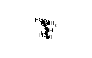 CC(C)COc1cc(-c2ccc(NCCNC[C@@H](O)c3cccc(Cl)c3)cc2)ccc1C(=O)NS(=O)(=O)CCCO